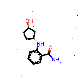 NC(=O)c1ccccc1N[C@@H]1CC[C@@H](O)C1